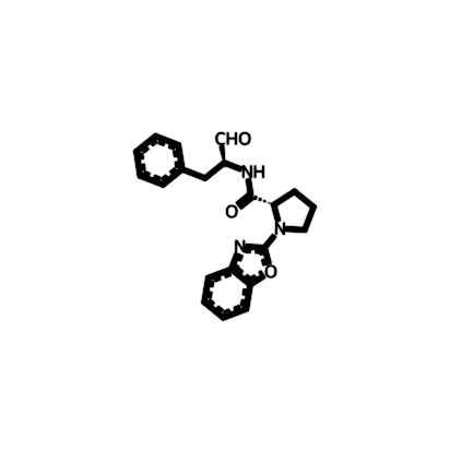 O=C[C@H](Cc1ccccc1)NC(=O)[C@@H]1CCCN1c1nc2ccccc2o1